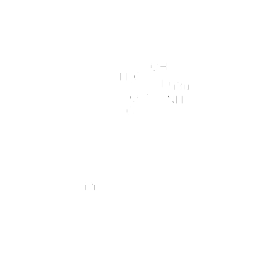 CCC(C)NC(CC(=O)CCCCCCC(C)C)C(=O)C(C)(O)CC